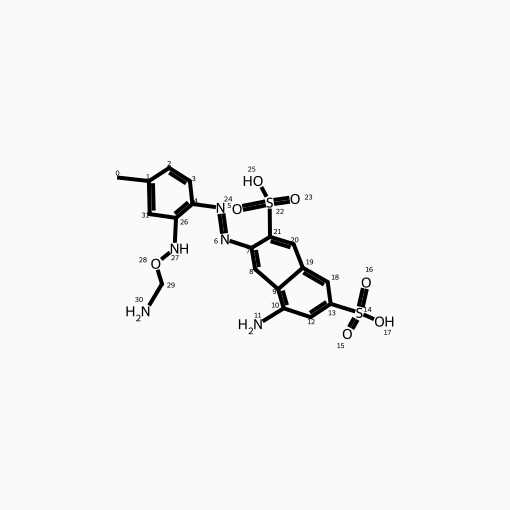 Cc1ccc(N=Nc2cc3c(N)cc(S(=O)(=O)O)cc3cc2S(=O)(=O)O)c(NOCN)c1